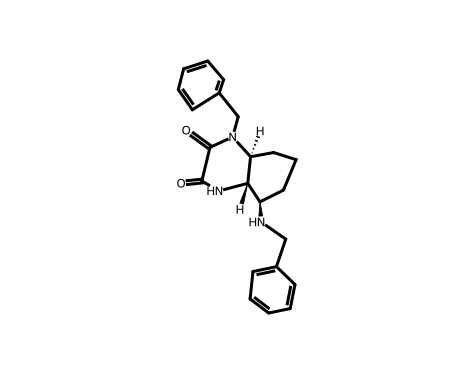 O=C1N[C@H]2[C@H](NCc3ccccc3)CCC[C@@H]2N(Cc2ccccc2)C1=O